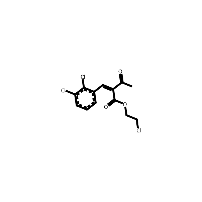 CC(=O)C(=Cc1cccc(Cl)c1Cl)C(=O)OCCCl